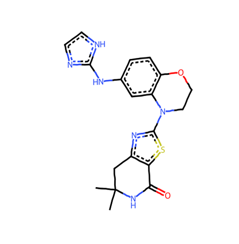 CC1(C)Cc2nc(N3CCOc4ccc(Nc5ncc[nH]5)cc43)sc2C(=O)N1